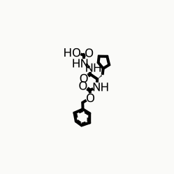 O=C(O)NNC(=O)[C@H](CC1CCCC1)NC(=O)OCc1ccccc1